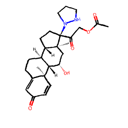 CC(=O)OCC(=O)[C@@]1(N2CCCN2)CC[C@H]2[C@@H]3CCC4=CC(=O)C=C[C@]4(C)[C@H]3[C@@H](O)C[C@@]21C